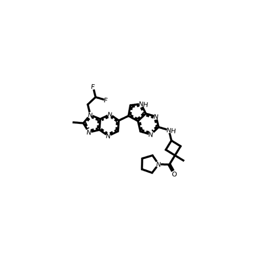 Cc1nc2ncc(-c3c[nH]c4nc(NC5CC(C)(C(=O)N6CCCC6)C5)ncc34)nc2n1CC(F)F